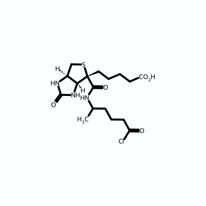 CC(CCCC(=O)Cl)NC(=O)[C@@]1(CCCCC(=O)O)SC[C@@H]2NC(=O)N[C@@H]21